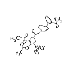 CC(=O)Oc1ccc(CC(=O)c2cc(OC(C)=O)c(OC(C)=O)c([N+](=O)[O-])c2)cc1